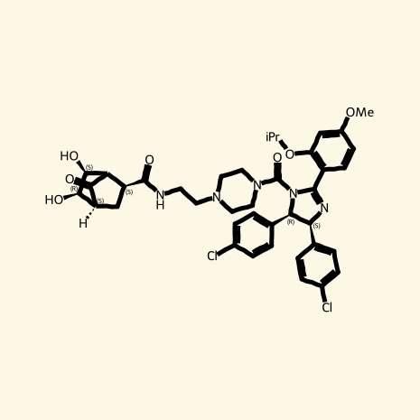 COc1ccc(C2=N[C@@H](c3ccc(Cl)cc3)[C@@H](c3ccc(Cl)cc3)N2C(=O)N2CCN(CCNC(=O)[C@H]3C[C@@H]4C(=O)C3[C@H](O)[C@@H]4O)CC2)c(OC(C)C)c1